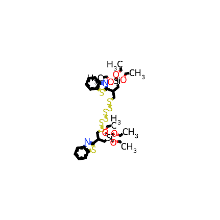 CCO[Si](CC(CSSSSSSCC(C[Si](OCC)(OCC)OCC)c1nc2ccccc2s1)c1nc2ccccc2s1)(OCC)OCC